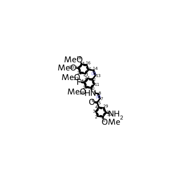 COc1ccc(C(=O)/C=C\Nc2cc(/C=C\c3cc(OC)c(OC)c(OC)c3)cc(F)c2OC)cc1N